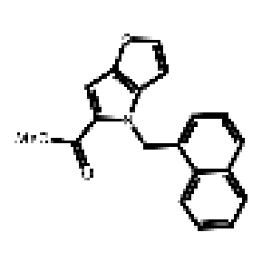 COC(=O)c1cc2sccc2n1Cc1cccc2ccccc12